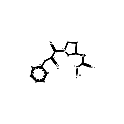 CC(C)(C)OC(=O)NC1CCN(C(=O)C(=O)Cc2ccccc2)C1